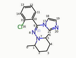 CC1CCCC(C)N1/N=C(/c1ccccc1Cl)n1ccnc1